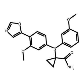 COc1cccc(N(c2ccc(-c3cnco3)c(OC)c2)C2(C(N)=O)CC2)c1